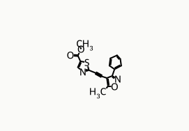 COC(=O)c1cnc(C#Cc2c(-c3ccccc3)noc2C)s1